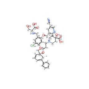 C[C@@H]1C(c2ccccc2)=CC=CC1(COc1cc(OCc2cncc(C#N)c2)c(CNC(CO)C(=O)O)cc1Cl)OCCCN1CCC(O)(C(=O)O)CC1